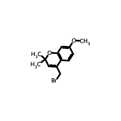 COc1ccc2c(c1)OC(C)(C)C=C2CBr